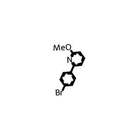 COc1cccc(-c2ccc(Br)cc2)n1